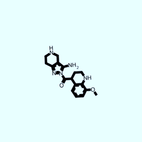 COc1cccc2c1NCCC2C(=O)n1nc2c(c1N)CNCC2